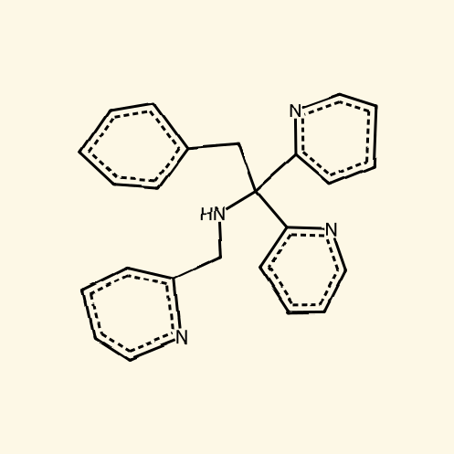 c1ccc(CC(NCc2ccccn2)(c2ccccn2)c2ccccn2)cc1